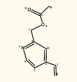 C=Cc1ccnc(COC(C)=O)c1